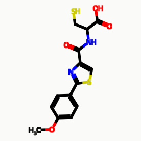 COc1ccc(-c2nc(C(=O)NC(CS)C(=O)O)cs2)cc1